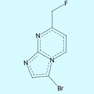 FCc1ccn2c(Br)cnc2n1